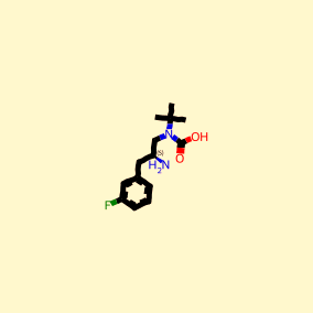 CC(C)(C)N(C[C@@H](N)Cc1cccc(F)c1)C(=O)O